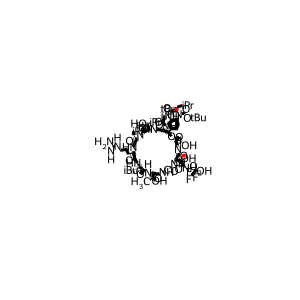 CC[C@H](C)[C@@H]1NC(=O)[C@@H](CCCNC(=N)N)NC(=O)[C@H](CC(C)C)NC(=O)[C@H]([C@H](O)C(C)C)NC(=O)[C@@H](NC(=O)[C@H](CC(C)(C)C)NC(=O)[C@@H](CC(C)C)NC(=O)OC(C)(C)C)[C@@H](c2ccccc2)OC(=O)[C@H](CO)NC(=O)[C@H]([C@H](O)C(N)=O)NC(=O)CNC(=O)[C@H]([C@H](C)O)NC1=O.O=C(O)C(F)(F)F